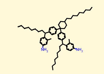 CCCCCCCCCC1CCC(c2ccc(C(CCCCCCCC)c3ccc(N)cc3C)cc2)(c2ccc(C(CCCCCCCC)c3ccc(N)cc3C)cc2)CC1